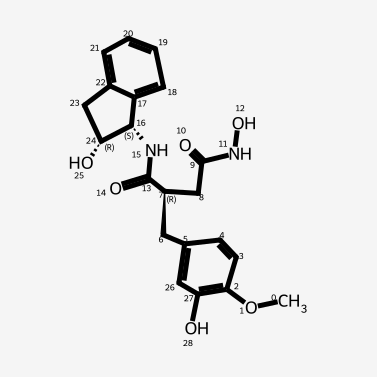 COc1ccc(C[C@H](CC(=O)NO)C(=O)N[C@H]2c3ccccc3C[C@H]2O)cc1O